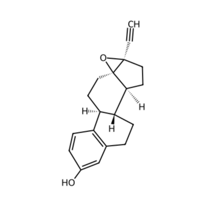 C#C[C@]12CC[C@H]3[C@@H]4CCc5cc(O)ccc5[C@H]4CC[C@@]31O2